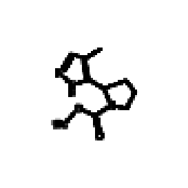 Cc1cn[nH]c1C1CCCN1C(=O)OC(C)(C)C